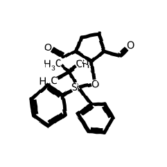 CC(C)(C)[Si](OC1C(C=O)CCC1C=O)(c1ccccc1)c1ccccc1